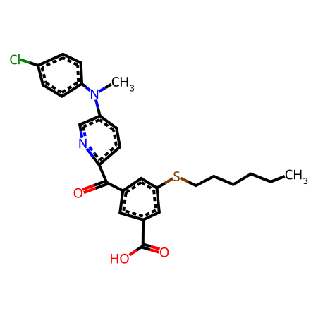 CCCCCCSc1cc(C(=O)O)cc(C(=O)c2ccc(N(C)c3ccc(Cl)cc3)cn2)c1